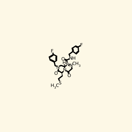 CSCC[C@H]1C(=O)N(Cc2ccc(F)cc2)C[C@H]2N1C(=O)CN(C)N2C(=O)NCc1ccc(F)cc1